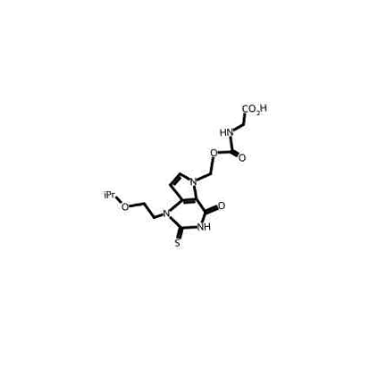 CC(C)OCCn1c(=S)[nH]c(=O)c2c1ccn2COC(=O)NCC(=O)O